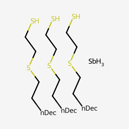 CCCCCCCCCCCCSCCS.CCCCCCCCCCCCSCCS.CCCCCCCCCCCCSCCS.[SbH3]